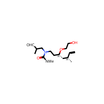 C=C[C@H](C)C[C@H](CCN(CC(C)C=O)C(=O)NC)OCCO